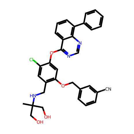 CC(CO)(CO)NCc1cc(Cl)c(Oc2ncnc3c(-c4ccccc4)cccc23)cc1OCc1cccc(C#N)c1